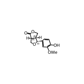 COc1cc([C@H]2OC[C@@H]3C(=O)OC[C@@H]32)ccc1O